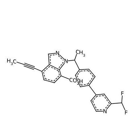 CC#Cc1ccc(C(=O)O)c2c1cnn2C(C)c1ccc(-c2ccnc(C(F)F)c2)cc1